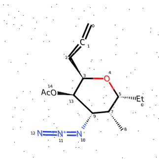 C=C=C[C@H]1O[C@H](CC)[C@H](C)[C@H](N=[N+]=[N-])[C@H]1OC(C)=O